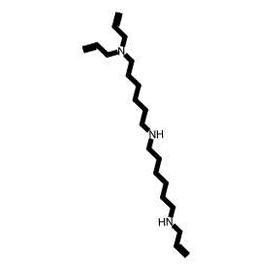 C=CCNCCCCCCNCCCCCCN(CC=C)CC=C